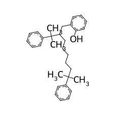 CC(C)(CCCCCC(Cc1ccccc1O)C(C)(C)c1ccccc1)c1ccccc1